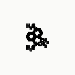 CB1C=CN(C)c2cccc(N(C)C)c21